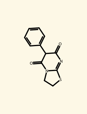 O=C1N=C2SCCN2C(=O)C1c1ccccc1